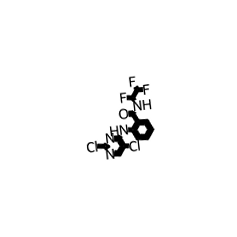 O=C(NC(F)C(F)F)c1ccccc1Nc1nc(Cl)ncc1Cl